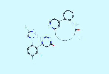 C[C@@H]1CCC[C@H](n2cnc(-c3c(-n4cc(Cl)nn4)ccc(Cl)c3F)cc2=O)c2cc(ccn2)-c2ccccc2NC1=O